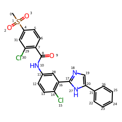 CS(=O)(=O)c1ccc(C(=O)Nc2ccc(Cl)c(-c3ncc(-c4ccccc4)[nH]3)c2)c(Cl)c1